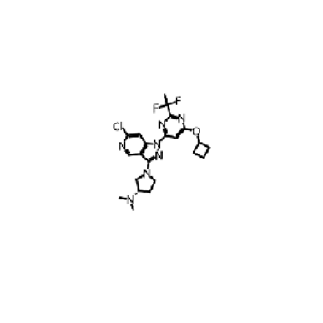 CN(C)[C@H]1CCN(c2nn(-c3cc(OC4CCC4)nc(C(C)(F)F)n3)c3cc(Cl)ncc23)C1